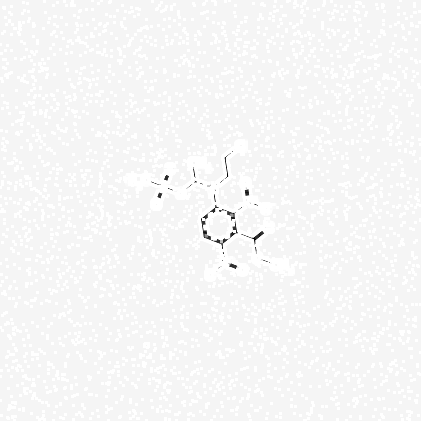 COC(=O)c1c([N+](=O)[O-])ccc(N(CCCl)C(C)OS(C)(=O)=O)c1[N+](=O)[O-]